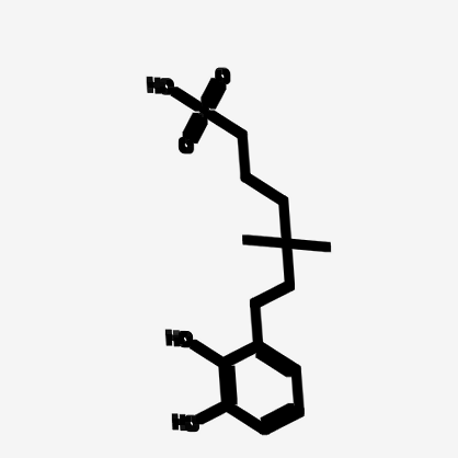 CC(C)(CCCS(=O)(=O)O)CCc1cccc(O)c1O